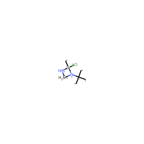 CC(C)(C)N1[SiH2]N[Si]1(C)Cl